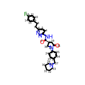 O=C(Nc1ccc(CCc2ccc(F)cc2)nn1)[C@H]1CC(=O)N(c2ccc(CN3CCCCC3)cc2)C1